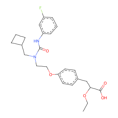 CCOC(Cc1ccc(OCCN(CC2CCC2)C(=O)Nc2cccc(F)c2)cc1)C(=O)O